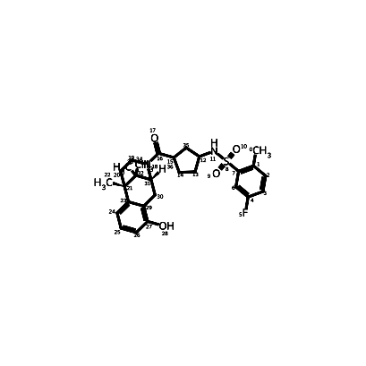 Cc1ccc(F)cc1S(=O)(=O)NC1CCC(C(=O)N2CC[C@@]3(C)c4cccc(O)c4C[C@@H]2C3(C)C)C1